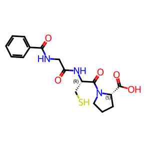 O=C(CNC(=O)c1ccccc1)N[C@@H](CS)C(=O)N1CCC[C@H]1C(=O)O